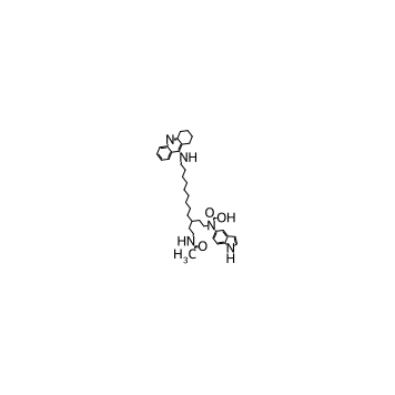 CC(=O)NCCC(CCCCCCCCCNc1c2c(nc3ccccc13)CCCC2)CCN(C(=O)O)c1ccc2[nH]ccc2c1